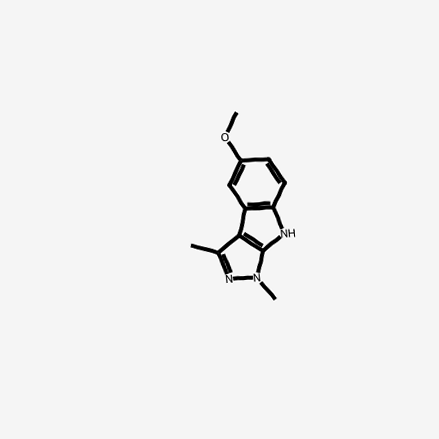 COc1ccc2[nH]c3c(c(C)nn3C)c2c1